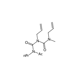 C=CCN(C)C(=O)N(CC=C)C(=O)N(CCC)C(C)=O